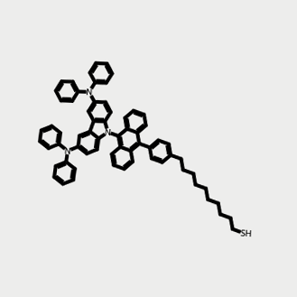 SCCCCCCCCCCc1ccc(-c2c3ccccc3c(-n3c4ccc(N(c5ccccc5)c5ccccc5)cc4c4cc(N(c5ccccc5)c5ccccc5)ccc43)c3ccccc23)cc1